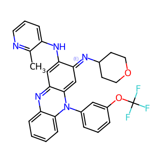 Cc1ncccc1Nc1cc2nc3ccccc3n(-c3cccc(OC(F)(F)F)c3)c-2c/c1=N\C1CCOCC1